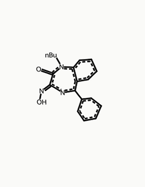 CCCCn1c(=O)c(=NO)nc(-c2ccccc2)c2ccccc21